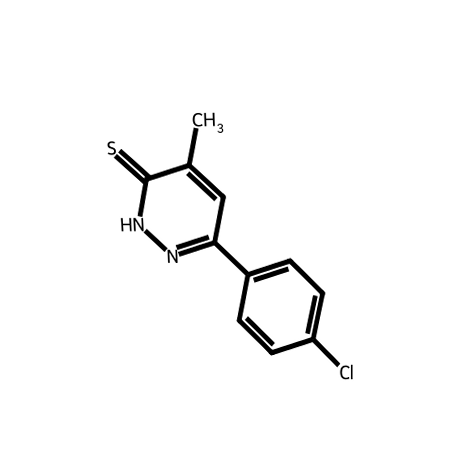 Cc1cc(-c2ccc(Cl)cc2)n[nH]c1=S